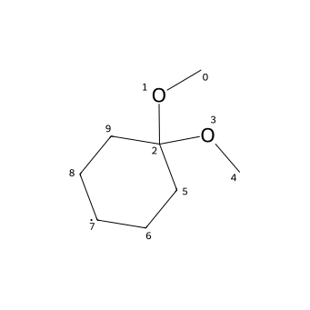 COC1(OC)CC[CH]CC1